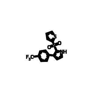 O=S(=O)(c1cccs1)c1[nH]ccc1-c1ccc(C(F)(F)F)cc1